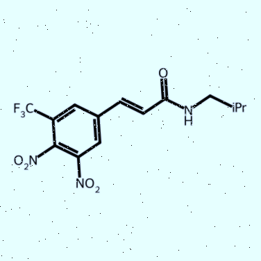 CC(C)CNC(=O)/C=C/c1cc([N+](=O)[O-])c([N+](=O)[O-])c(C(F)(F)F)c1